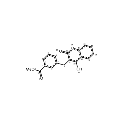 COC(=O)c1cccc(Cc2c(O)c3ccccc3oc2=O)c1